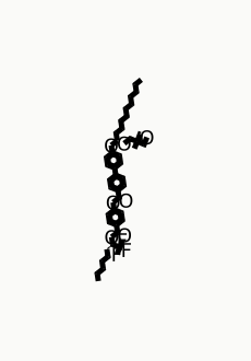 CCCCCCCCCCC(OCC1(C)COC1)Oc1ccc(-c2ccc(C(=O)Oc3ccc(C(=O)O[C@@H](CCCCCC)C(F)(F)F)cc3)cc2)cc1